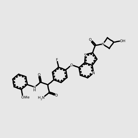 COc1ccccc1NC(=O)C(C(N)=O)c1ccc(Oc2ccnc3cc(C(=O)N4CC(O)C4)sc23)c(F)c1